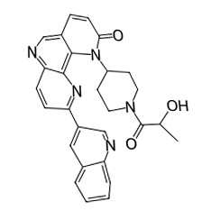 CC(O)C(=O)N1CCC(n2c(=O)ccc3cnc4ccc(-c5cnc6ccccc6c5)nc4c32)CC1